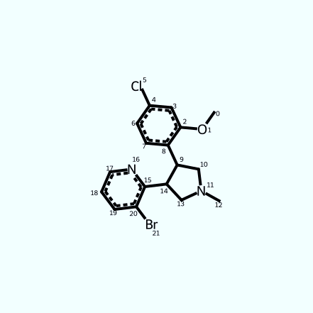 COc1cc(Cl)ccc1C1CN(C)CC1c1ncccc1Br